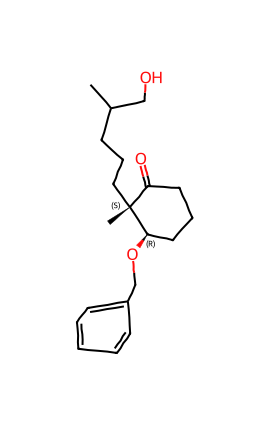 CC(CO)CCC[C@]1(C)C(=O)CCC[C@H]1OCc1ccccc1